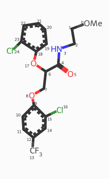 COCCNC(=O)C(COc1ccc(C(F)(F)F)cc1Cl)Oc1ccccc1Cl